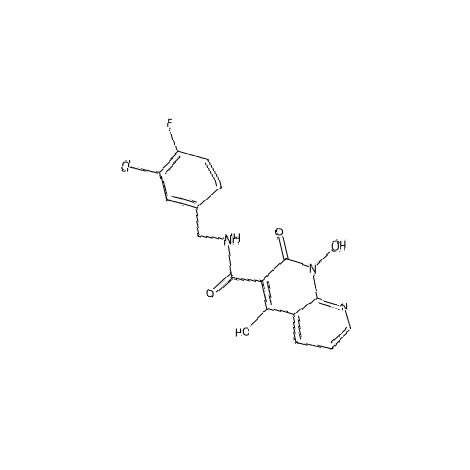 O=C(NCc1ccc(F)c(Cl)c1)c1c(O)c2cccnc2n(O)c1=O